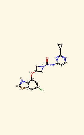 O=C(Nc1ccnc(C2CC2)n1)N1CC(Oc2cc(F)cc3scnc23)C1